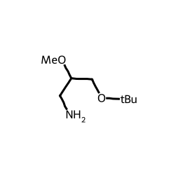 COC(CN)COC(C)(C)C